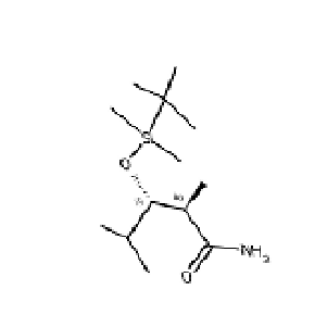 CC(C)[C@H](O[Si](C)(C)C(C)(C)C)[C@@H](C)C(N)=O